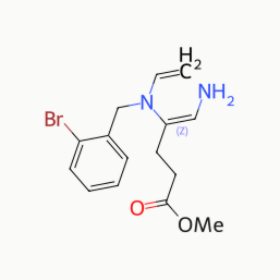 C=CN(Cc1ccccc1Br)/C(=C\N)CCC(=O)OC